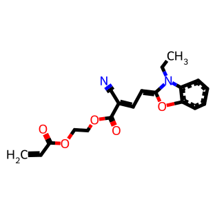 C=CC(=O)OCCOC(=O)/C(C#N)=C/C=C1\Oc2ccccc2N1CC